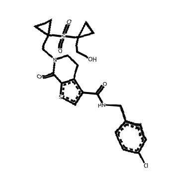 O=C(NCc1ccc(Cl)cc1)c1csc2c1CCN(CC1(S(=O)(=O)C3(CO)CC3)CC1)C2=O